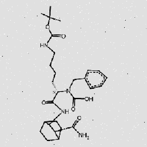 CC(C)(C)OC(=O)NCCCC[C@@H](C(=O)NC1C2CCC(CC2)C1C(N)=O)N(Cc1ccccc1)C(=O)O